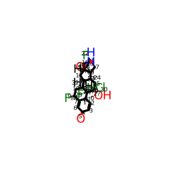 C[C@]12C=CC(=O)C=C1[C@@H](F)C[C@H]1[C@@H]3C[C@H]4CNC[C@@]4(C(=O)CF)[C@@]3(C)C[C@H](O)[C@@]12F.Cl